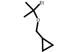 [CH2]CC(C)(C)OCC1CC1